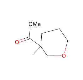 COC(=O)C1(C)CCCOC1